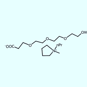 CCC[N+]1(C)CCCC1.COCCOCCOCCOCCC(=O)[O-]